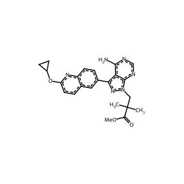 COC(=O)C(C)(C)Cn1nc(-c2ccc3nc(OC4CC4)ccc3c2)c2c(N)ncnc21